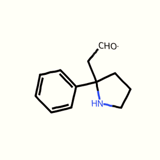 O=[C]CC1(c2ccccc2)CCCN1